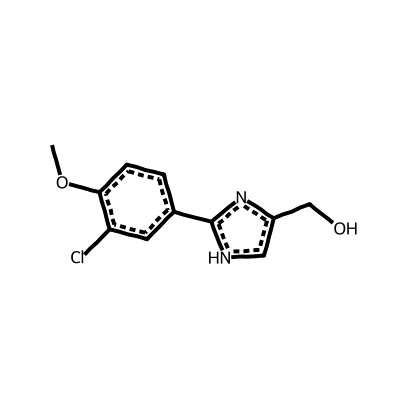 COc1ccc(-c2nc(CO)c[nH]2)cc1Cl